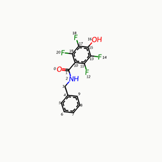 O=C(NCc1ccccc1)c1c(F)c(F)c(O)c(F)c1F